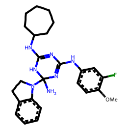 COc1ccc(NC2=NC(N)(N3CCc4ccccc43)NC(NC3CCCCCC3)=N2)cc1F